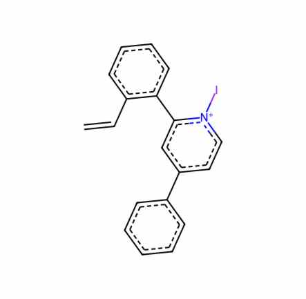 C=Cc1ccccc1-c1cc(-c2ccccc2)cc[n+]1I